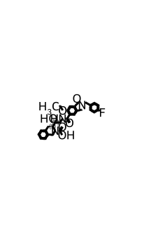 CCOc1cc2c(cc1C(=O)NC[C@@H](O)[C@@H]1Cc3ccccc3CN1C(=O)O)CN(Cc1ccc(F)cc1)C2=O